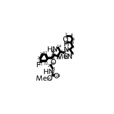 CNCC(CC1CCCOC1)NC(=O)C1CNC[C@H]([C@@H](OCCNC(=O)OC)c2cccc(F)c2)C1